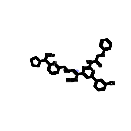 COC(c1cccc(CN/C=C(\N=N)c2cc(-c3cccc(C#N)c3)nc(NC(=O)COc3ccccc3)n2)n1)C1CCCC1